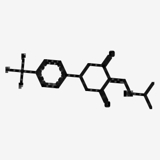 CC(C)NC=C1C(=O)CC(c2ccc(C(F)(F)F)cc2)CC1=O